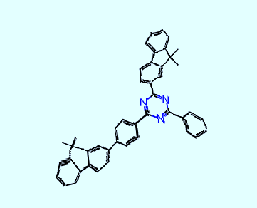 CC1(C)c2ccccc2-c2ccc(-c3ccc(-c4nc(-c5ccccc5)nc(-c5ccc6c(c5)C(C)(C)c5ccccc5-6)n4)cc3)cc21